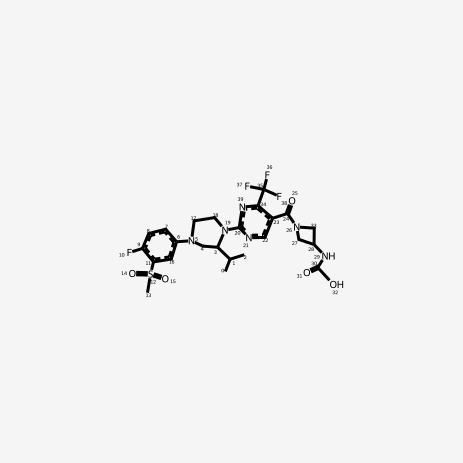 CC(C)C1CN(c2ccc(F)c(S(C)(=O)=O)c2)CCN1c1ncc(C(=O)N2CC(NC(=O)O)C2)c(C(F)(F)F)n1